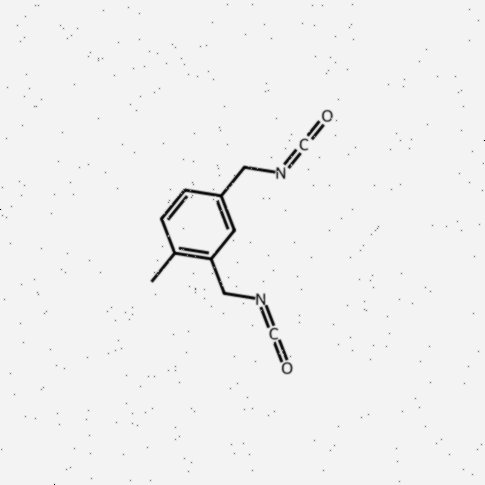 Cc1ccc(CN=C=O)cc1CN=C=O